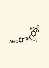 COc1ccc(C[S+]([O-])/C(=C/c2ccc3oc(=O)[nH]c3c2)[N+](=O)[O-])cc1